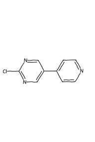 Clc1ncc(-c2ccncc2)cn1